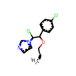 C=CCOC(c1ccc(Cl)cc1)C(Cl)n1ccnc1